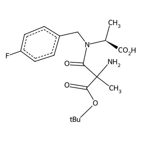 C[C@@H](C(=O)O)N(Cc1ccc(F)cc1)C(=O)C(C)(N)C(=O)OC(C)(C)C